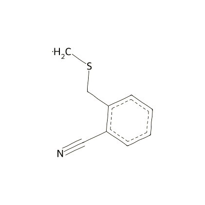 [CH2]SCc1ccccc1C#N